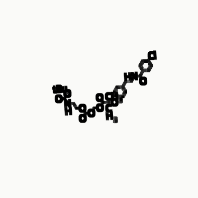 CC(C)(C)OC(=O)NCCOC(=O)OCOC(=O)C(C)(C)Oc1ccc(CCNC(=O)c2ccc(Cl)cc2)cc1